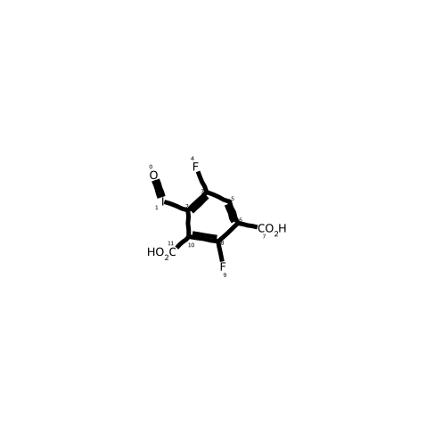 O=Ic1c(F)cc(C(=O)O)c(F)c1C(=O)O